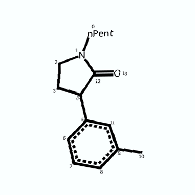 CCCCCN1CCC(c2cccc(C)c2)C1=O